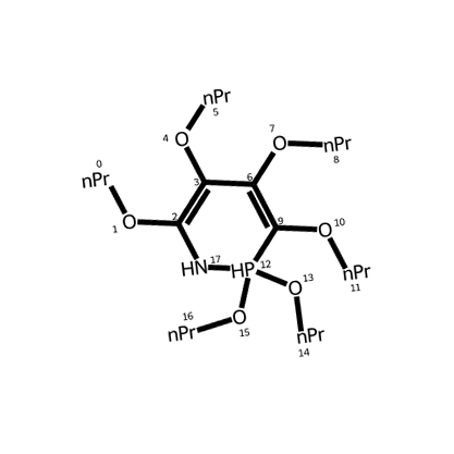 CCCOC1=C(OCCC)C(OCCC)=C(OCCC)[PH](OCCC)(OCCC)N1